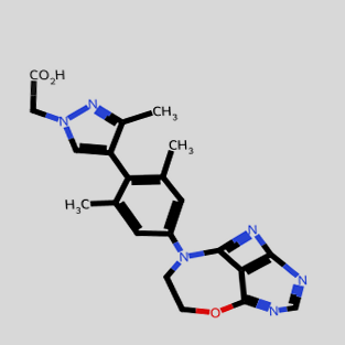 Cc1cc(N2CCOc3ncnc4c3C2=N4)cc(C)c1-c1cn(CC(=O)O)nc1C